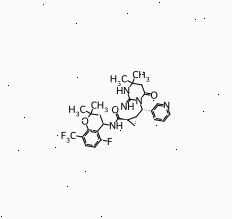 CC1(C)CC(=O)N([C@H](c2cccnc2)[C@@H]2C[C@H]2C(=O)NC2CC(C)(C)Oc3c(C(F)(F)F)ccc(F)c32)C(=N)N1